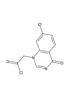 O=C(Cl)Cn1cnc(=O)c2ccc(Cl)cc21